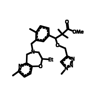 CCC1CN(Cc2cc(C(OCc3cn(C)nn3)C(C)(C)C(=O)OC)ccc2C)Cc2nc(C)ccc2O1